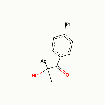 CC(=O)C(C)(O)C(=O)c1ccc(C(C)C)cc1